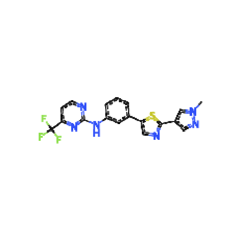 Cn1cc(-c2ncc(-c3cccc(Nc4nccc(C(F)(F)F)n4)c3)s2)cn1